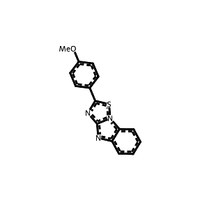 COc1ccc(-c2nc3nc4ccccc4n3s2)cc1